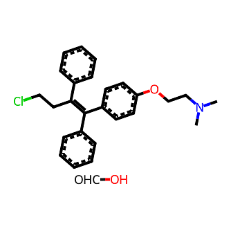 CN(C)CCOc1ccc(/C(=C(/CCCl)c2ccccc2)c2ccccc2)cc1.O=CO